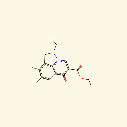 CCOC(=O)c1cn2c3c(c(F)c(F)cc3c1=O)CN2CO